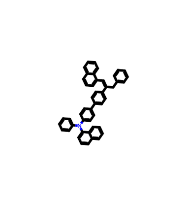 C(=C(\Cc1ccccc1)c1ccc(-c2ccc(N(c3ccccc3)c3cccc4ccccc34)cc2)cc1)/c1cccc2ccccc12